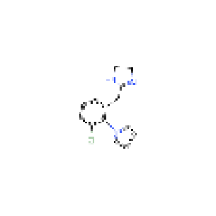 Clc1cccc(CC2=NCCN2)c1-n1cccc1